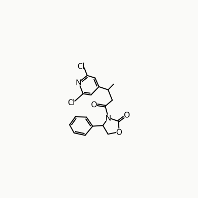 CC(CC(=O)N1C(=O)OCC1c1ccccc1)c1cc(Cl)nc(Cl)c1